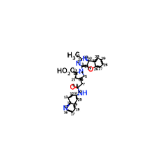 Cc1nc(N2C[C@@H](CC(=O)Nc3ccc4ncccc4c3)C[C@H]2C(=O)O)c2oc3ccccc3c2n1